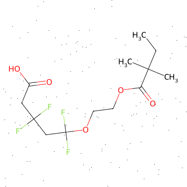 CCC(C)(C)C(=O)OCCOC(F)(F)CC(F)(F)CC(=O)O